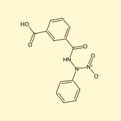 O=C(O)c1cccc(C(=O)NN(c2ccccc2)[N+](=O)[O-])c1